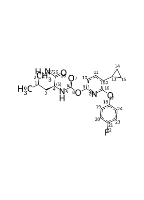 CC(C)C[C@H](NC(=O)Oc1ccc(C2CC2)c(Oc2ccc(F)cc2)n1)C(N)=O